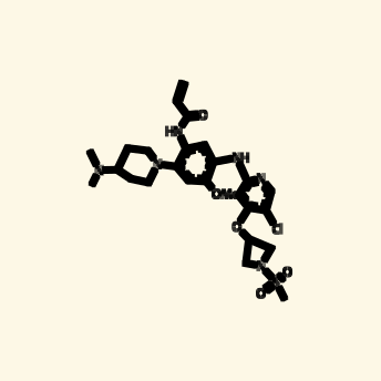 C=CC(=O)Nc1cc(Nc2cc(OC3CN(S(C)(=O)=O)C3)c(Cl)cn2)c(OC)cc1N1CCC(N(C)C)CC1